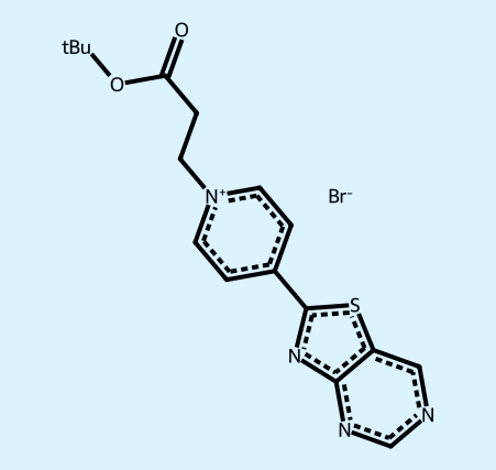 CC(C)(C)OC(=O)CC[n+]1ccc(-c2nc3ncncc3s2)cc1.[Br-]